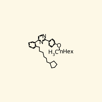 CCCCCCC(C)Oc1ccc(-c2nccc(-c3ccccc3CCCCCCC3CCCC3)n2)cc1